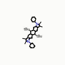 Cc1c(C)n(-c2ccccc2)c2cc3c(C(C)(C)C)c4cc5c(C)c(C)n(-c6ccccc6)c5cc4c(C(C)(C)C)c3cc12